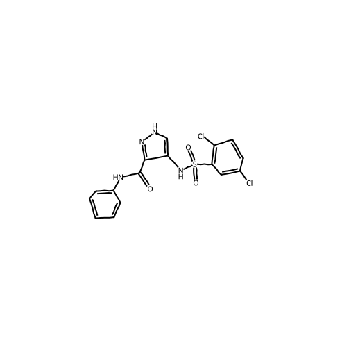 O=C(Nc1ccccc1)c1n[nH]cc1NS(=O)(=O)c1cc(Cl)ccc1Cl